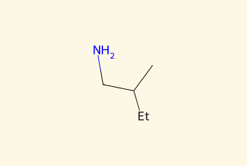 [CH2]CC(C)CN